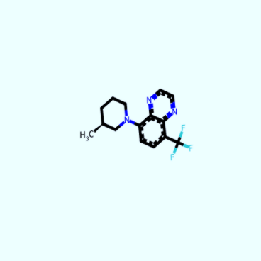 C[C@H]1CCCN(c2ccc(C(F)(F)F)c3nccnc23)C1